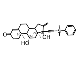 C=C1CC2C3CCC4=CC(=O)CC[C@]4(C)C3[C@@H](O)C[C@]2(C)[C@]1(O)C#C[Si](C)(C)c1ccccc1